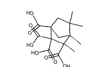 CC1(C)CC2(C(=O)O)CC1(C)C(C)(C(=O)O)C2(C(=O)O)C(=O)O